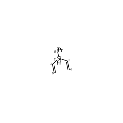 C=C[SiH](C=C)C(C)C